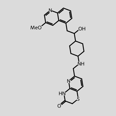 COc1cnc2cccc(CC(O)C3CCC(NCc4ccc5c(n4)NC(=O)CS5)CC3)c2c1